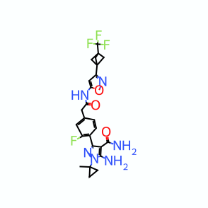 CC1(n2nc(-c3ccc(CC(=O)Nc4cc(C56CC(C(F)(F)F)(C5)C6)no4)cc3F)c(C(N)=O)c2N)CC1